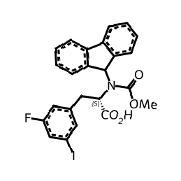 COC(=O)N(C1c2ccccc2-c2ccccc21)[C@@H](Cc1cc(F)cc(I)c1)C(=O)O